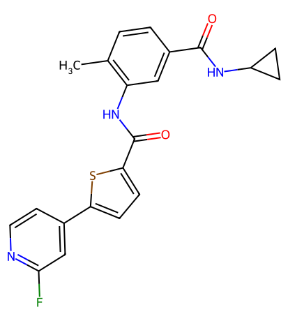 Cc1ccc(C(=O)NC2CC2)cc1NC(=O)c1ccc(-c2ccnc(F)c2)s1